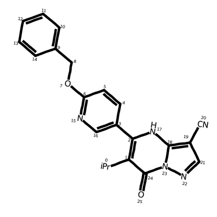 CC(C)c1c(-c2ccc(OCc3ccccc3)nc2)[nH]c2c(C#N)cnn2c1=O